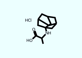 CC(NC12CC3CC(CC(C3)C1)C2)C(=O)O.Cl